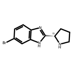 Brc1ccc2nc([C@@H]3CCCN3)[nH]c2c1